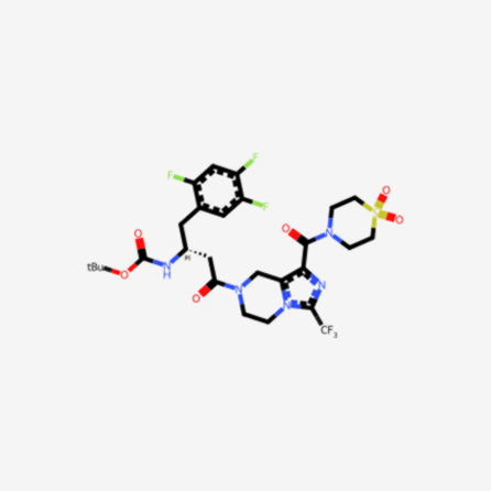 CC(C)(C)OC(=O)N[C@@H](CC(=O)N1CCn2c(C(F)(F)F)nc(C(=O)N3CCS(=O)(=O)CC3)c2C1)Cc1cc(F)c(F)cc1F